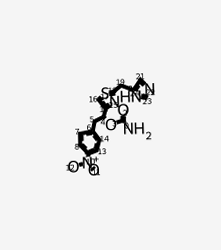 NC(=O)OC(Cc1ccc([N+](=O)[O-])cc1)c1csc(Cc2cnc[nH]2)n1